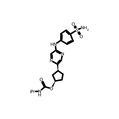 CC(C)NC(=O)O[C@@H]1CC[C@H](c2cnc(Nc3ccc(S(N)(=O)=O)cc3)cn2)C1